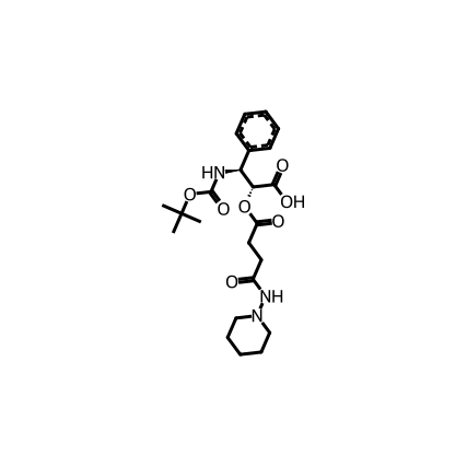 CC(C)(C)OC(=O)N[C@@H](c1ccccc1)[C@@H](OC(=O)CCC(=O)NN1CCCCC1)C(=O)O